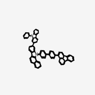 c1ccc(-n2c3ccccc3c3ccc(-c4ccc5c6ccc7ccccc7c6n(-c6ccc(-c7ccc(-c8ccc9c%10c(cccc8%10)-c8ccccc8-9)cc7)cc6)c5c4)cc32)cc1